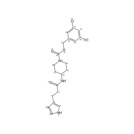 O=C(CCc1c[nH]nn1)NC1CCN(C(=O)OCc2cc(Cl)cc(Cl)c2)CC1